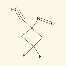 C#CC1(N=O)CC(F)(F)C1